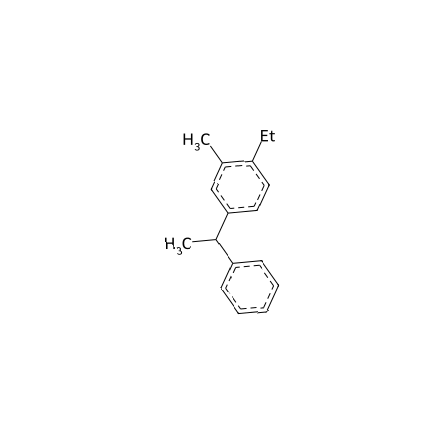 CCc1ccc(C(C)c2ccccc2)cc1C